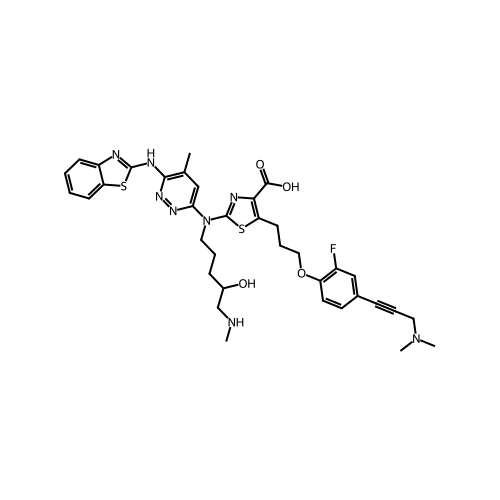 CNCC(O)CCCN(c1cc(C)c(Nc2nc3ccccc3s2)nn1)c1nc(C(=O)O)c(CCCOc2ccc(C#CCN(C)C)cc2F)s1